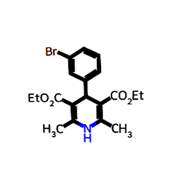 CCOC(=O)C1=C(C)NC(C)=C(C(=O)OCC)C1c1cccc(Br)c1